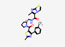 Cc1nc(-c2cccc(C(F)(F)F)c2)c(C(=O)N2CCC[C@H]2CNC(=O)c2c(C)nc3sccn23)s1